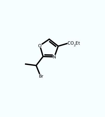 CCOC(=O)c1coc(C(C)Br)n1